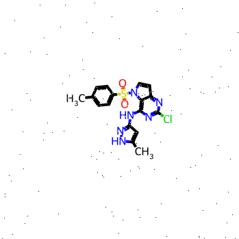 Cc1ccc(S(=O)(=O)n2ccc3nc(Cl)nc(Nc4cc(C)[nH]n4)c32)cc1